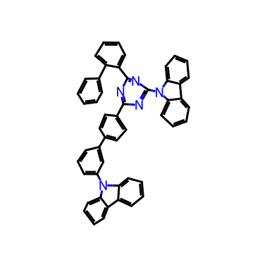 c1ccc(-c2ccccc2-c2nc(-c3ccc(-c4cccc(-n5c6ccccc6c6ccccc65)c4)cc3)nc(-n3c4ccccc4c4ccccc43)n2)cc1